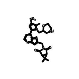 Cc1c([N+](=O)[O-])cc(-c2ccnc3cc(CN4C(=O)C5C(C4=O)C5(C)C)sc23)n1CC1CNCCO1